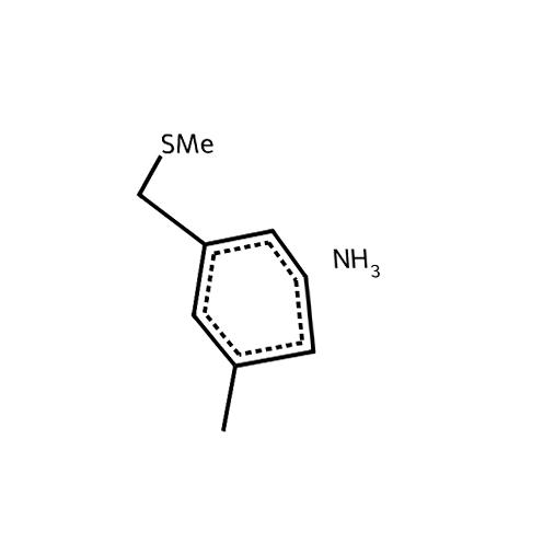 CSCc1cccc(C)c1.N